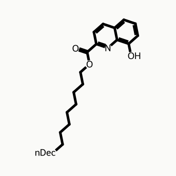 CCCCCCCCCCCCCCCCCCOC(=O)c1ccc2cccc(O)c2n1